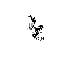 Cc1cccc(C)c1-c1cc(OC[C@@H](CC(C)(C)C)NCc2cnc3oc(C4CC4)cc3n2)nc(NS(=N)(=O)c2cccc(C(=O)O)c2)n1